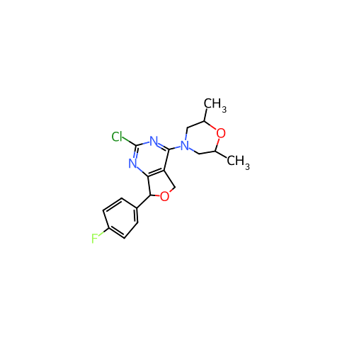 CC1CN(c2nc(Cl)nc3c2COC3c2ccc(F)cc2)CC(C)O1